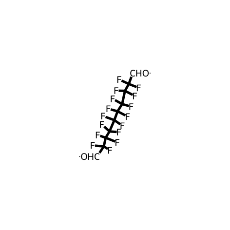 O=[C]C(F)(F)C(F)(F)C(F)(F)C(F)(F)C(F)(F)C(F)(F)C(F)(F)C(F)(F)[C]=O